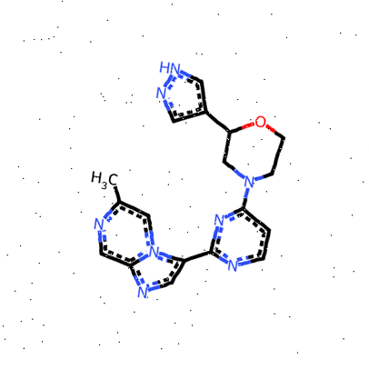 Cc1cn2c(-c3nccc(N4CCOC(c5cn[nH]c5)C4)n3)cnc2cn1